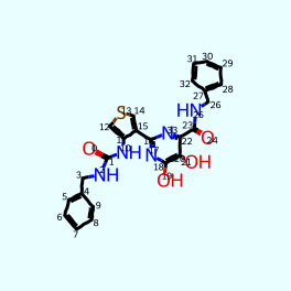 O=C(NCc1ccccc1)Nc1cscc1-c1nc(O)c(O)c(C(=O)NCc2ccccc2)n1